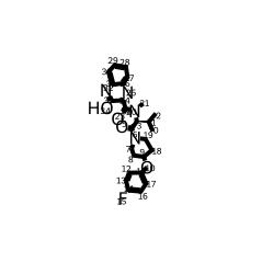 CC(C)[C@@H](C(=O)N1CCC(Oc2ccc(F)cc2)CC1)N(C)C(=O)c1nc2ccccc2nc1O